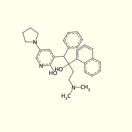 CN(C)CCC(O)(C1=C=C=Cc2ccccc21)C(c1ccccc1)c1cc(N2CCCC2)cnc1O